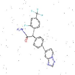 NC(=O)C(c1ccc(-c2ccn3ncnc3c2)cc1)c1ccc(C(F)(F)F)cc1F